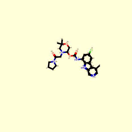 Cc1cncc2[nH]c3c(NC(=O)OC4COC(C)(C)CN4CC(=O)N4CCCC4)cc(Cl)cc3c12